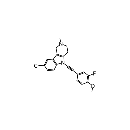 COc1ccc(C#Cn2c3c(c4cc(Cl)ccc42)CN(C)CC3)cc1F